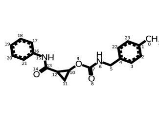 Cc1ccc(CNC(=O)OC2CC2C(=O)Nc2ccccc2)cc1